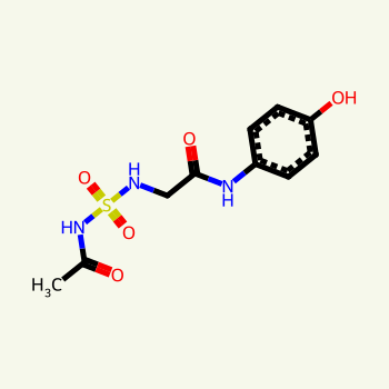 CC(=O)NS(=O)(=O)NCC(=O)Nc1ccc(O)cc1